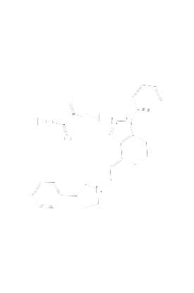 C(CN1CCC(c2ccccc2)C1)=C1CCCc2c1cnn2-c1ccccc1.O=C(O)C(=O)O